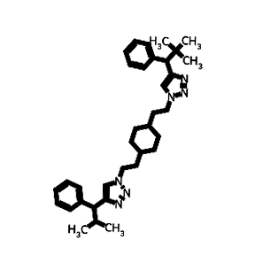 CC(C)C(c1ccccc1)c1cn(CCC2CCC(CCn3cc(C(c4ccccc4)C(C)(C)C)nn3)CC2)nn1